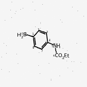 Bc1ccc(NC(=O)OCC)cc1